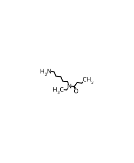 CCCC(=O)N(CC)CCCCCN